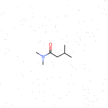 CC(C)CC(=O)N(C)C